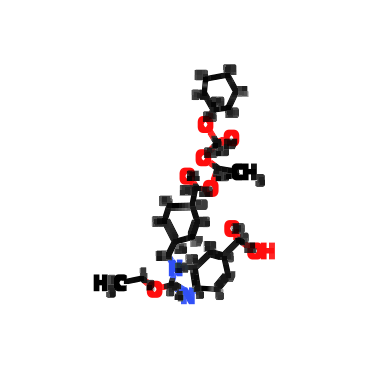 CCOc1nc2ccc(C(=O)O)cc2n1Cc1ccc(C(=O)OC(C)OC(=O)OC2CCCCC2)cc1